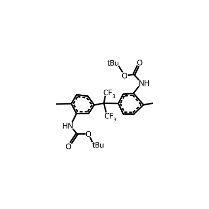 Cc1ccc(C(c2ccc(C)c(NC(=O)OC(C)(C)C)c2)(C(F)(F)F)C(F)(F)F)cc1NC(=O)OC(C)(C)C